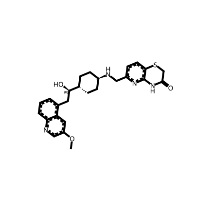 COc1cnc2cccc(C[C@@H](O)[C@H]3CC[C@H](NCc4ccc5c(n4)NC(=O)CS5)CC3)c2c1